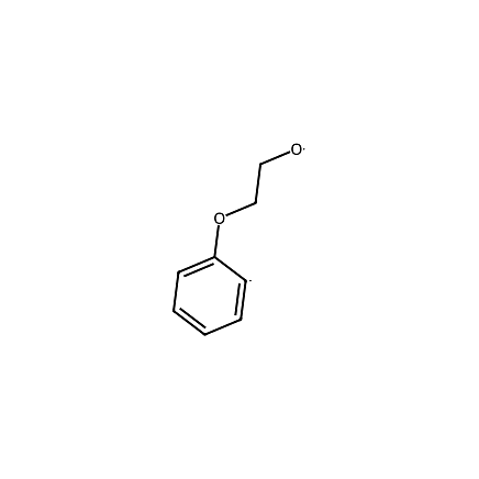 [O]CCOc1[c]cccc1